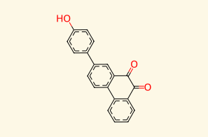 O=C1C(=O)c2cc(-c3ccc(O)cc3)ccc2-c2ccccc21